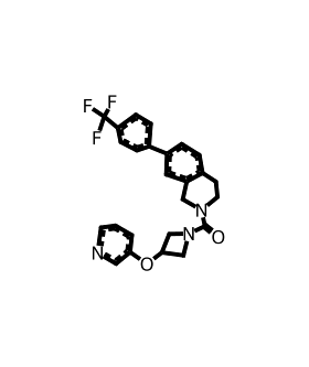 O=C(N1CCc2ccc(-c3ccc(C(F)(F)F)cc3)cc2C1)N1CC(Oc2cccnc2)C1